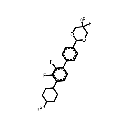 CCCC1CCC(c2ccc(-c3ccc(C4OCC(F)(CCC)CO4)cc3)c(F)c2F)CC1